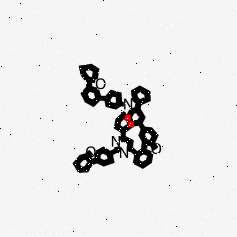 c1ccc(-c2cc(-c3cccc4oc5ccc(-c6ccc7c(c6)c6ccccc6n7-c6ccc(-c7cccc8c7oc7ccccc78)cc6)cc5c34)nc(-c3ccc4c(c3)oc3ccccc34)n2)cc1